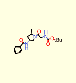 C[C@@H]1C[C@@H](NC(=O)c2ccccc2)CN1C(=O)CNC(=O)OC(C)(C)C